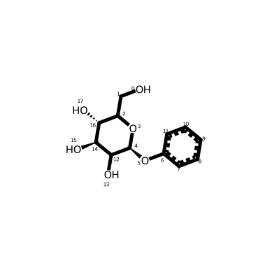 OCC1O[C@@H](Oc2ccccc2)C(O)[C@@H](O)[C@@H]1O